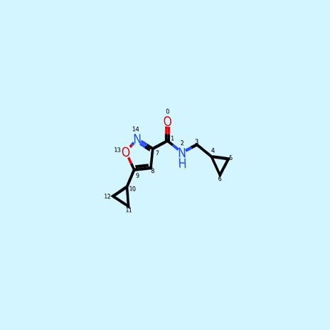 O=C(NCC1CC1)c1cc(C2CC2)on1